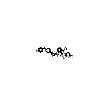 CN(c1cnc(C2CCN(Cc3ccc(F)cc3)CC2)o1)c1cccc2c1C(=O)N(C1CCC(=O)NC1=O)C2=O